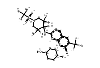 [2H]C(F)(F)c1cc2cnc(NC3([2H])C([2H])([2H])CN(S(=O)(=O)C([2H])([2H])[2H])CC3([2H])[2H])nc2n([C@H]2C[C@H](O)CC[C@@H]2F)c1=O